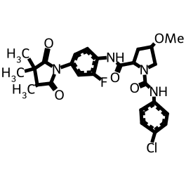 COC1CC(C(=O)Nc2ccc(N3C(=O)C(C)C(C)(C)C3=O)cc2F)N(C(=O)Nc2ccc(Cl)cc2)C1